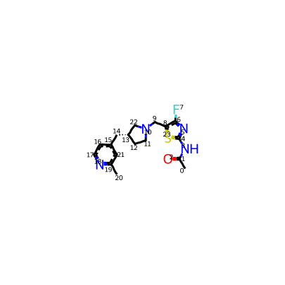 CC(=O)Nc1nc(F)c(CN2CC[C@H](Cc3ccnc(C)c3)C2)s1